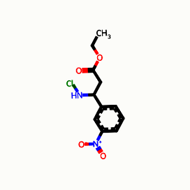 CCOC(=O)CC(NCl)c1cccc([N+](=O)[O-])c1